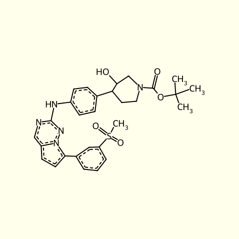 CC(C)(C)OC(=O)N1CCC(c2ccc(Nc3ncc4ccc(-c5cccc(S(C)(=O)=O)c5)n4n3)cc2)C(O)C1